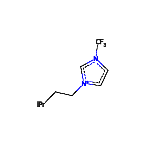 CC(C)CC[n+]1ccn(C(F)(F)F)c1